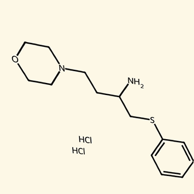 Cl.Cl.NC(CCN1CCOCC1)CSc1ccccc1